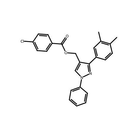 Cc1ccc(-c2nn(-c3ccccc3)cc2COC(=O)c2ccc(Cl)cc2)cc1C